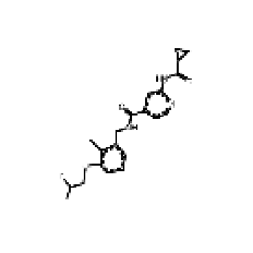 Cc1c(CNC(=O)c2ccnc(NC(=O)C3CC3)c2)cccc1OCC(F)F